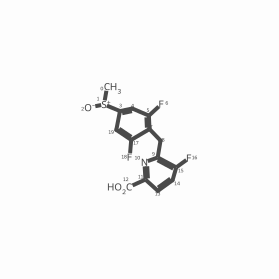 C[S+]([O-])c1cc(F)c(Cc2nc(C(=O)O)ccc2F)c(F)c1